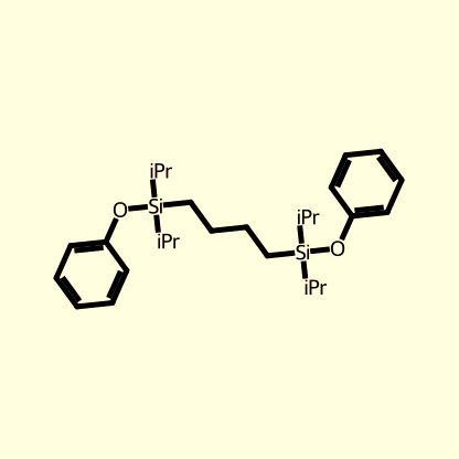 CC(C)[Si](CCCC[Si](Oc1ccccc1)(C(C)C)C(C)C)(Oc1ccccc1)C(C)C